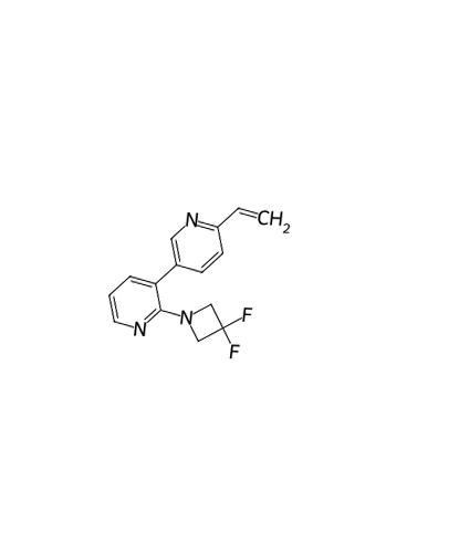 C=Cc1ccc(-c2cccnc2N2CC(F)(F)C2)cn1